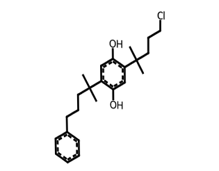 CC(C)(CCCCl)c1cc(O)c(C(C)(C)CCCc2ccccc2)cc1O